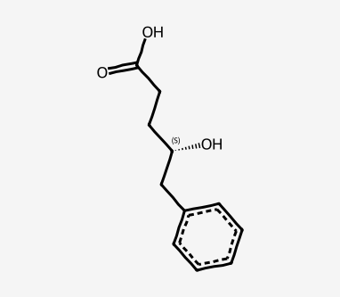 O=C(O)CC[C@H](O)Cc1ccccc1